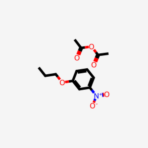 CC(=O)OC(C)=O.CCCOc1cccc([N+](=O)[O-])c1